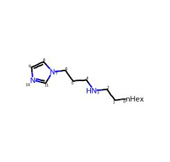 CCCCCCCCNCCCn1ccnc1